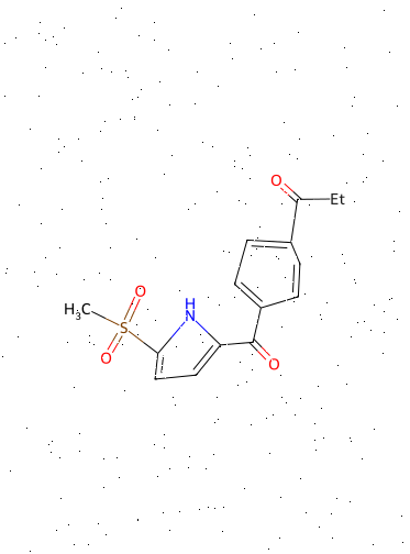 CCC(=O)c1ccc(C(=O)c2ccc(S(C)(=O)=O)[nH]2)cc1